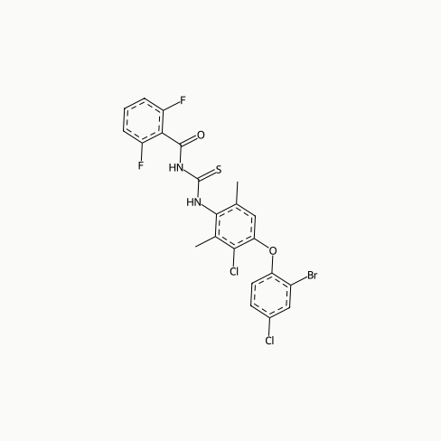 Cc1cc(Oc2ccc(Cl)cc2Br)c(Cl)c(C)c1NC(=S)NC(=O)c1c(F)cccc1F